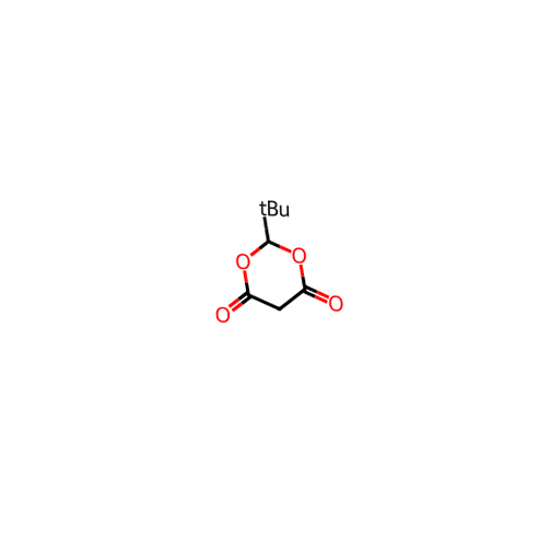 CC(C)(C)C1OC(=O)CC(=O)O1